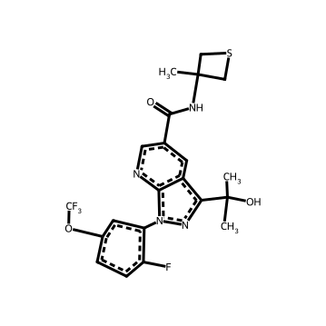 CC1(NC(=O)c2cnc3c(c2)c(C(C)(C)O)nn3-c2cc(OC(F)(F)F)ccc2F)CSC1